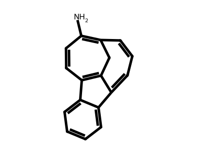 NC1=C2C=CC=C3C(=C(C=C1)c1ccccc13)C2